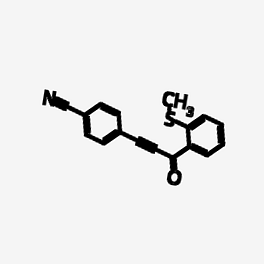 CSc1ccccc1C(=O)C#Cc1ccc(C#N)cc1